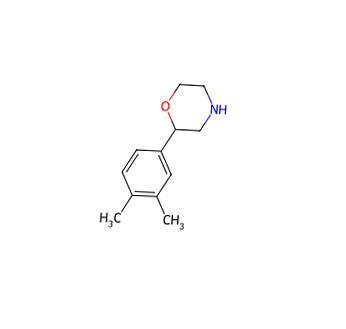 Cc1ccc(C2CNCCO2)cc1C